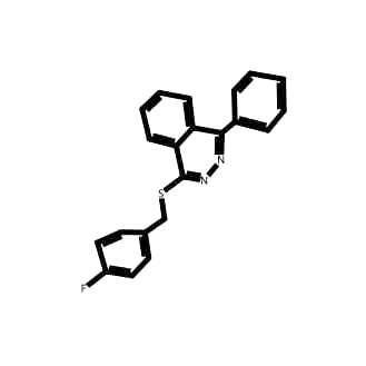 Fc1ccc(CSc2nnc(-c3ccccc3)c3ccccc23)cc1